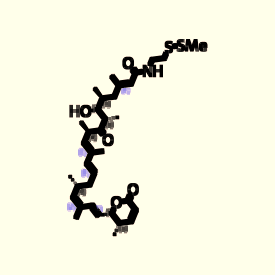 CSSCCNC(=O)/C=C(\C)C[C@H](C)[C@@H](O)[C@H](C)C(=O)[C@H](C)/C=C(C)/C=C/C[C@@H](C)/C=C(C)\C=C\[C@@H]1OC(=O)C=C[C@@H]1C